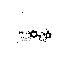 COc1ccc(C(=O)ON2C(=O)CCC2=O)cc1OC